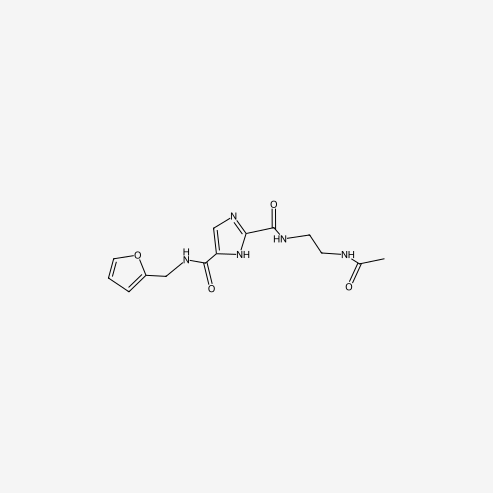 CC(=O)NCCNC(=O)c1ncc(C(=O)NCc2ccco2)[nH]1